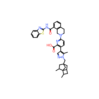 Cc1c(-c2ccc(N3CCc4cccc(C(=O)Nc5nc6ccccc6s5)c4C3)nc2C(=O)O)cnn1CC12CC(C)C3(C1)C(C)CC3C2